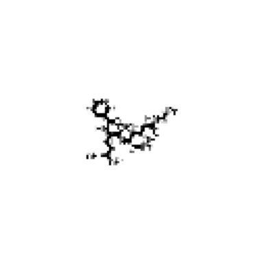 CCCC(CCC)CCC(NC(=O)c1cccnc1)C(=O)N[C@@H](CC(C)C)[C@@H](O)[C@H](O)CC(=O)NCC(C)C